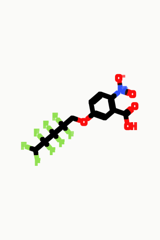 O=C(O)c1cc(OCC(F)(F)C(F)(F)C(F)(F)C(F)F)ccc1[N+](=O)[O-]